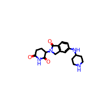 O=C1CCC(N2Cc3cc(NC4CCNCC4)ccc3C2=O)C(=O)N1